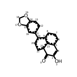 O=C1C(O)=Cc2cccc3c(-c4ccc5c(c4)OCO5)ccc1c23